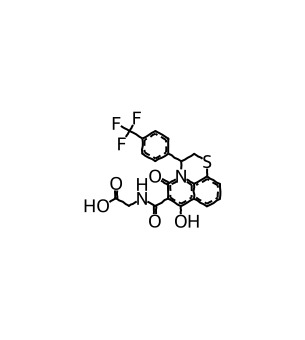 O=C(O)CNC(=O)c1c(O)c2cccc3c2n(c1=O)C(c1ccc(C(F)(F)F)cc1)CS3